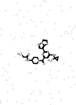 CCC(=O)NC1CCN(C(=O)c2cc(NC3(C)CC3)nc(-c3cnn4ccsc34)n2)CC1